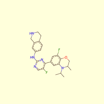 CC(C)N1c2cc(-c3nc(Nc4ccc5c(c4)CNCC5)ncc3F)cc(F)c2OCC1C